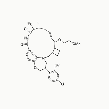 CCCc1cc(Cl)ccc1C1COc2ccc3cc2N(C1)CC1CCC1C(OCCOC)/C=C/C[C@@H](C)C(C(C)C)[S+]([O-])NC3=O